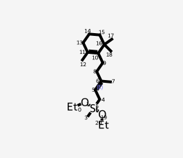 CCO[Si](C)(C/C=C(\C)CCC1=C(C)CCCC1(C)C)OCC